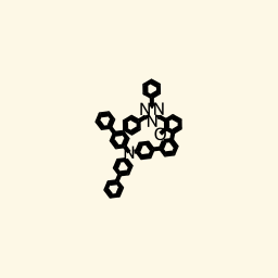 c1ccc(-c2ccc(N(c3ccc(-c4ccccc4)cc3)c3ccc(-c4cccc5c4oc4c(-c6nc(-c7ccccc7)nc(-c7ccccc7)n6)cccc45)cc3)cc2)cc1